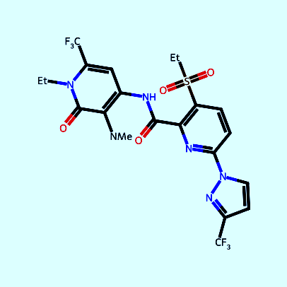 CCn1c(C(F)(F)F)cc(NC(=O)c2nc(-n3ccc(C(F)(F)F)n3)ccc2S(=O)(=O)CC)c(NC)c1=O